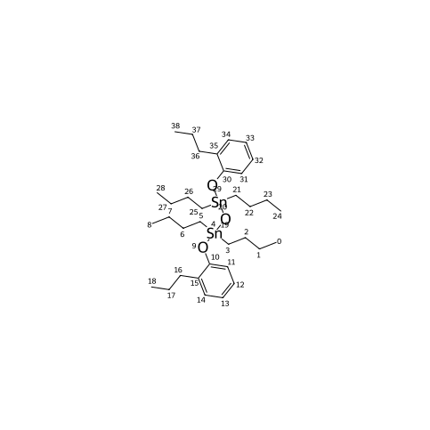 CCC[CH2][Sn]([CH2]CCC)([O]c1ccccc1CCC)[O][Sn]([CH2]CCC)([CH2]CCC)[O]c1ccccc1CCC